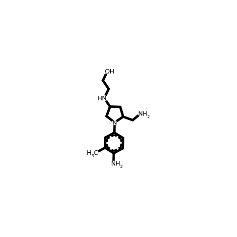 Cc1cc(N2CC(NCCO)CC2CN)ccc1N